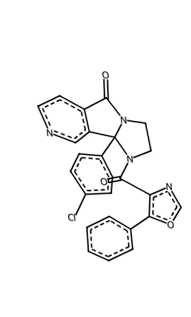 O=C1c2ccncc2C2(c3ccc(Cl)cc3)N1CCN2C(=O)c1ncoc1-c1ccccc1